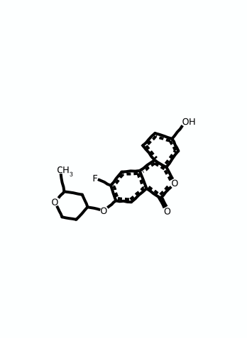 CC1CC(Oc2cc3c(=O)oc4cc(O)ccc4c3cc2F)CCO1